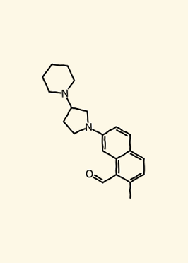 Cc1ccc2ccc(N3CCC(N4CCCCC4)C3)cc2c1C=O